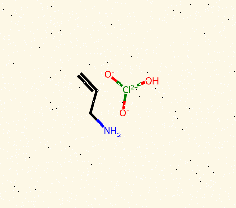 C=CCN.[O-][Cl+2]([O-])O